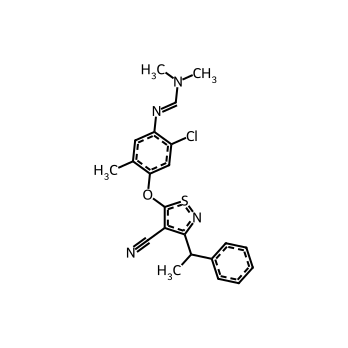 Cc1cc(N=CN(C)C)c(Cl)cc1Oc1snc(C(C)c2ccccc2)c1C#N